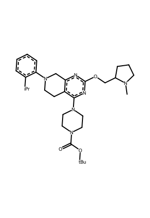 CC(C)c1ccccc1N1CCc2c(nc(OCC3CCCN3C)nc2N2CCN(C(=O)OC(C)(C)C)CC2)C1